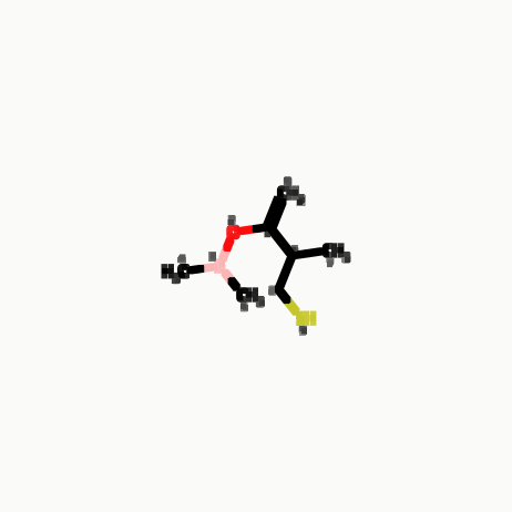 C=C(OB(C)C)C(C)CS